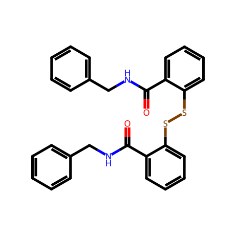 O=C(NCc1ccccc1)c1ccccc1SSc1ccccc1C(=O)NCc1ccccc1